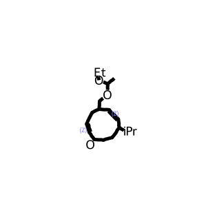 CCOC(C)OCC1/C=C\C(C(C)C)CCC(=O)/C=C\C1